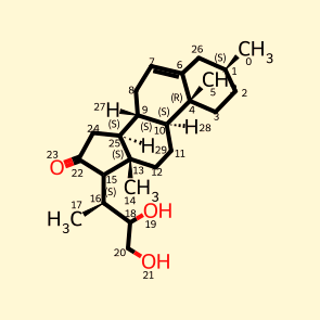 C[C@H]1CC[C@@]2(C)C(=CC[C@@H]3[C@@H]2CC[C@]2(C)C([C@H](C)C(O)CO)C(=O)C[C@@H]32)C1